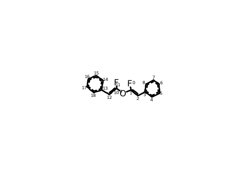 FC(=Cc1ccccc1)OC(F)=Cc1ccccc1